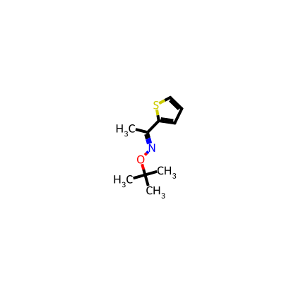 CC(=NOC(C)(C)C)c1cccs1